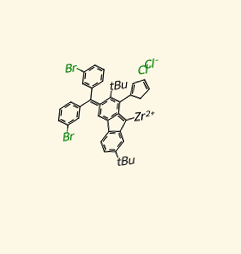 CC(C)(C)c1ccc2c(c1)[C]([Zr+2])=c1c-2cc(=C(c2cccc(Br)c2)c2cccc(Br)c2)c(C(C)(C)C)c1C1=CC=CC1.[Cl-].[Cl-]